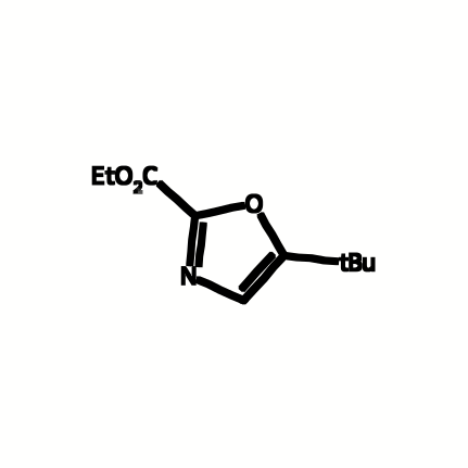 CCOC(=O)c1ncc(C(C)(C)C)o1